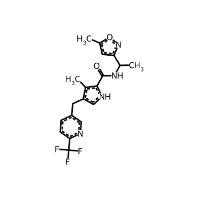 Cc1cc(C(C)NC(=O)c2[nH]cc(Cc3ccc(C(F)(F)F)nc3)c2C)no1